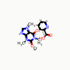 Cn1c(=O)c2c(ncn2C)n(C)c1=O.O=C(O)c1ccccn1.[Cr]